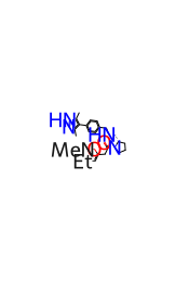 CC/C=C(/CC(=O)N1CCC[C@H]1CNCc1ccc(-c2c(C)n[nH]c2C)cc1)ONC